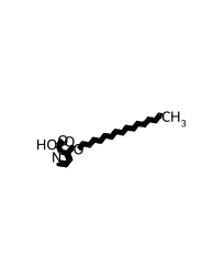 CCCCCCCCCCCCCCCCOC(=O)c1cccnc1C(=O)O